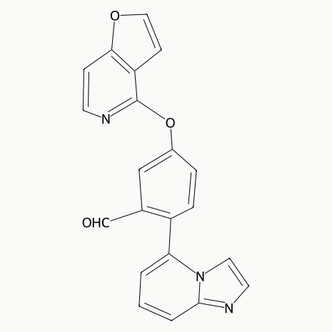 O=Cc1cc(Oc2nccc3occc23)ccc1-c1cccc2nccn12